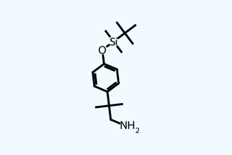 CC(C)(CN)c1ccc(O[Si](C)(C)C(C)(C)C)cc1